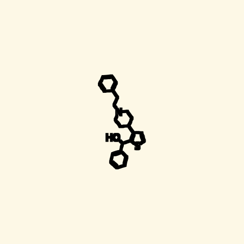 OC(c1ccccc1)c1sccc1C1CCN(CCc2ccccc2)CC1